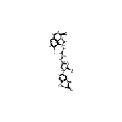 O=C1COc2ccc(N3C[C@@H](CNCC[C@@H]4CN5C(=O)CCc6ccc(F)c4c65)OC3=O)cc2N1